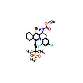 CC(C)(C)OC(=O)N[C@@H](Cc1cc(F)cc(F)c1)c1nc(C#CC(C)(C)S(C)(=O)=O)c2c(c1Br)CCCC2